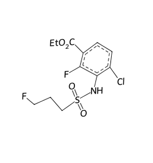 CCOC(=O)c1ccc(Cl)c(NS(=O)(=O)CCCF)c1F